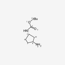 CC(C)(C)OC(=O)N[C@H]1CCC(N)C1